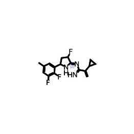 C=C(C(=N)/N=C1\NC(c2cc(C)cc(F)c2F)CC1F)C1CC1